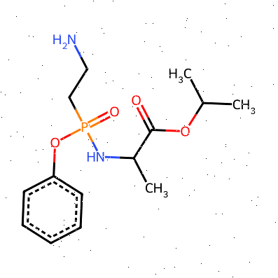 CC(C)OC(=O)C(C)NP(=O)(CCN)Oc1ccccc1